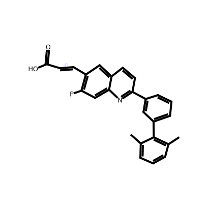 Cc1cccc(C)c1-c1cccc(-c2ccc3cc(/C=C/C(=O)O)c(F)cc3n2)c1